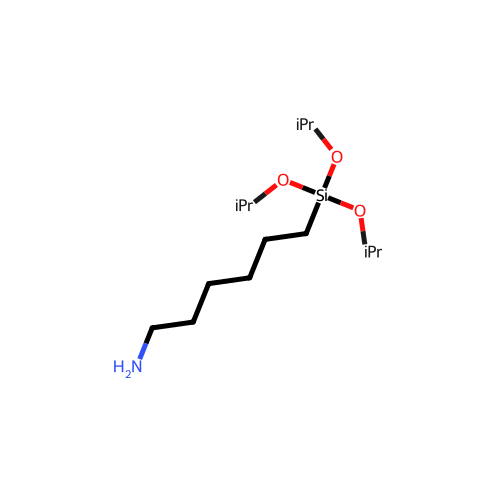 CC(C)O[Si](CCCCCCN)(OC(C)C)OC(C)C